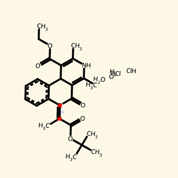 CCOC(=O)C1=C(C)NC(C)=C(C(=O)OCC)C1c1ccccc1/C=C/C(=O)OC(C)(C)C.Cl.Cl.O.O